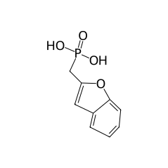 O=P(O)(O)Cc1cc2ccccc2o1